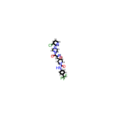 O=C(Nc1ccc(C(F)(F)F)cc1)N1CCC2(CC1)CC(C(=O)N1CCN(c3ncccc3Cl)CC1)=NO2